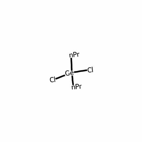 CC[CH2][Ge]([Cl])([Cl])[CH2]CC